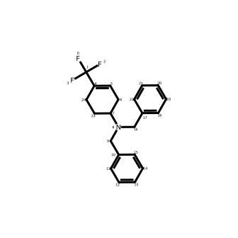 FC(F)(F)C1=CCC(N(Cc2ccccc2)Cc2ccccc2)CC1